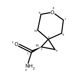 NC(=O)[C@@H]1CC12CCOCC2